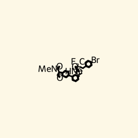 CNC(=O)c1coc2cc(-c3cccc(F)c3NS(=O)(=O)CCc3ccc(Br)cc3C(F)(F)F)ccc12